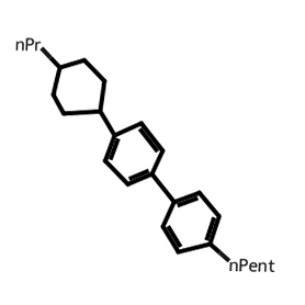 CCCCCc1ccc(-c2ccc(C3CCC(CCC)CC3)cc2)cc1